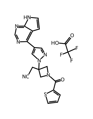 N#CCC1(n2cc(-c3ncnc4[nH]ccc34)cn2)CN(C(=O)c2cccs2)C1.O=C(O)C(F)(F)F